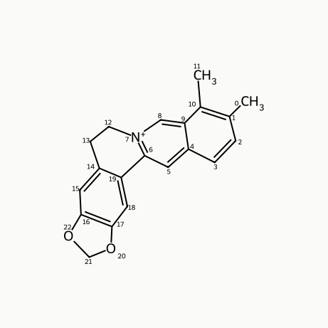 Cc1ccc2cc3[n+](cc2c1C)CCc1cc2c(cc1-3)OCO2